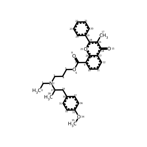 CCN(CCCOC(=O)c1cccc2c(=O)c(C)c(-c3ccccc3)oc12)C(C)Cc1ccc(OC)cc1